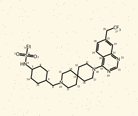 CCS(=O)(=O)NC1CCC(CN2CCC3(CC2)CCN(c2ncnc4cc(CC(F)(F)F)ccc24)CC3)CC1